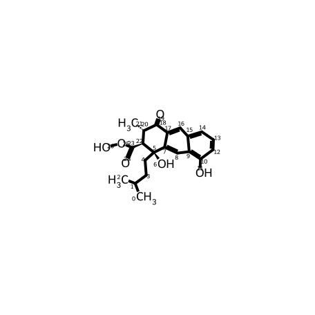 CC(C)CC[C@@]1(O)c2cc3c(O)cccc3cc2C(=O)[C@@H](C)[C@@H]1C(=O)OO